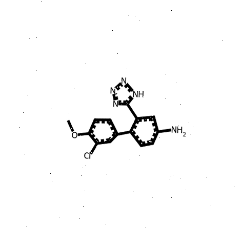 COc1ccc(-c2ccc(N)cc2-c2nnn[nH]2)cc1Cl